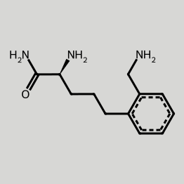 NCc1ccccc1CCC[C@H](N)C(N)=O